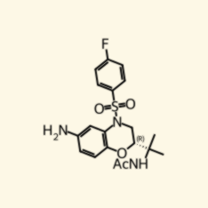 CC(=O)NC(C)(C)[C@H]1CN(S(=O)(=O)c2ccc(F)cc2)c2cc(N)ccc2O1